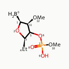 B[C@@H]1O[C@H](CC)C(OP(=O)(O)OC)[C@@H]1OC